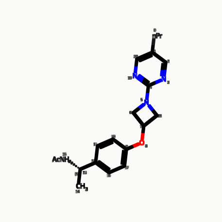 CCCc1cnc(N2CC(Oc3ccc([C@H](C)NC(C)=O)cc3)C2)nc1